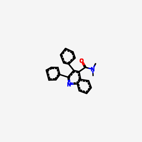 CN(C)C(=O)c1c(-c2ccccc2)c(-c2ccccc2)nc2ccccc12